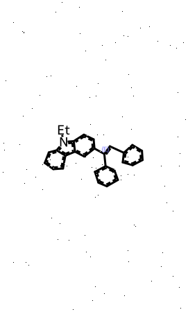 CCn1c2ccccc2c2cc(/C(=C/c3ccccc3)c3ccccc3)ccc21